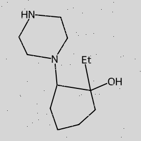 CCC1(O)CCCCC1N1CCNCC1